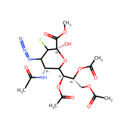 COC(=O)[C@@]1(O)OC([C@H](OC(C)=O)[C@@H](COC(C)=O)OC(C)=O)[C@H](NC(C)=O)C(N=[N+]=[N-])C1F